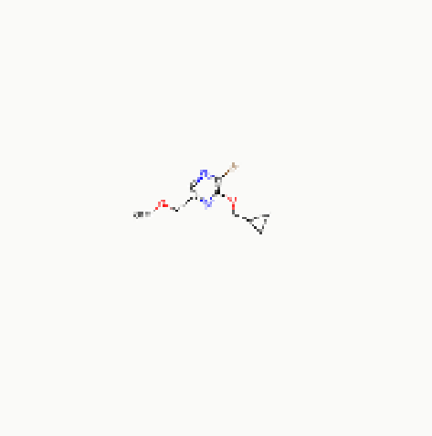 O=COCc1cnc(Br)c(OCC2CC2)n1